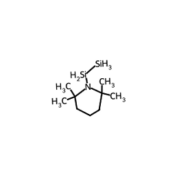 CC1(C)CCCC(C)(C)N1[SiH2][SiH3]